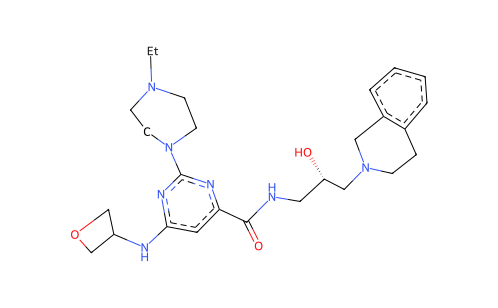 CCN1CCN(c2nc(NC3COC3)cc(C(=O)NC[C@H](O)CN3CCc4ccccc4C3)n2)CC1